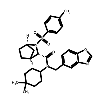 Cc1ccc(S(=O)(=O)N2[C@@H]3CC[C@@H](C3)[C@H]2C(=O)N(Cc2ccc3ocnc3c2)C2CCC(C)(C)CC2)cc1